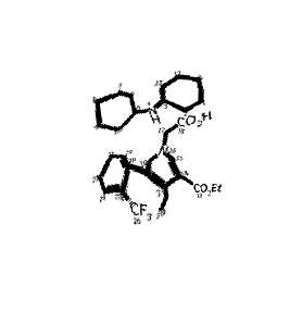 C1CCC(NC2CCCCC2)CC1.CCOC(=O)c1cn(CC(=O)O)c(-c2ccccc2C(F)(F)F)c1C